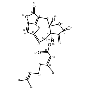 C=C1C(=O)O[C@H]2CC3=C[C@@H](C/C(C)=C/[C@@H](OC(=O)C=C(C)CCC=C(C)C)[C@H]12)OC3=O